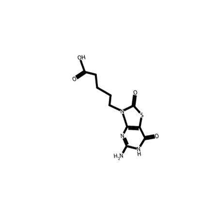 Nc1nc2c(sc(=O)n2CCCCC(=O)O)c(=O)[nH]1